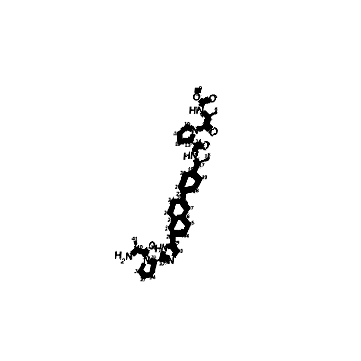 COC(=O)N[C@@H](C)C(=O)N1CCC[C@H]1C(=O)N[C@@H](C)c1ccc(-c2ccc3cc(-c4cnc([C@@H]5CCCN5C(=O)[C@H](C)N)[nH]4)ccc3c2)cc1